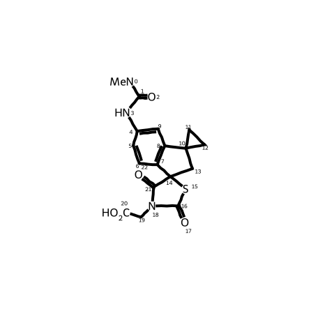 CNC(=O)Nc1ccc2c(c1)C1(CC1)CC21SC(=O)N(CC(=O)O)C1=O